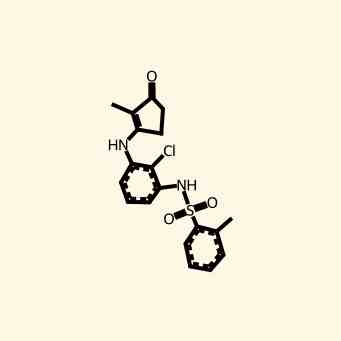 CC1=C(Nc2cccc(NS(=O)(=O)c3ccccc3C)c2Cl)CCC1=O